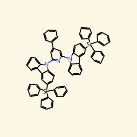 c1ccc(-c2cc(-n3c4ccccc4c4cc([Si](c5ccccc5)(c5ccccc5)c5ccccc5)ccc43)nc(-n3c4ccccc4c4cc([Si](c5ccccc5)(c5ccccc5)c5ccccc5)ccc43)c2)cc1